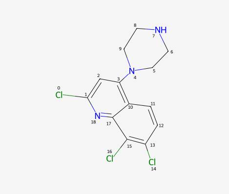 Clc1cc(N2CCNCC2)c2ccc(Cl)c(Cl)c2n1